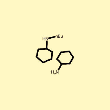 CCCCNC1CCCCC1.NC1CCCCC1